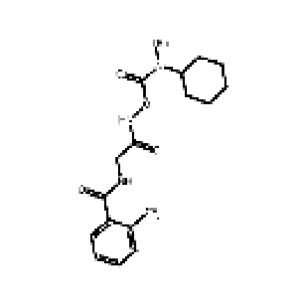 CC(C)(C)N(C(=O)ONC(=O)CNC(=O)c1ccccc1C(F)(F)F)C1CCCCC1